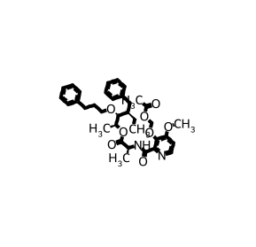 CC[C@H](Cc1ccccc1)[C@@H](OCCCc1ccccc1)[C@H](C)OC(=O)[C@H](C)NC(=O)c1nccc(OC)c1OCOC(C)=O